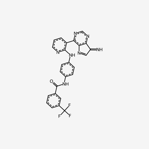 N=C1C=Nc2c1ncnc2-c1cccnc1Nc1ccc(NC(=O)c2cccc(C(F)(F)F)c2)cc1